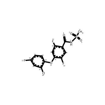 CS(=O)(=O)NC(=O)c1cc(F)c(Oc2ccc(F)cc2Cl)cc1F